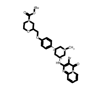 CN1C[C@H](Nc2nc3ccccn3c(=O)c2Br)C[C@H](c2ccc(OCC3CN(C(=O)OC(C)(C)C)CCO3)cc2)C1